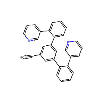 C#Cc1cc(-c2ccccc2-c2cccnc2)cc(-c2ccccc2-c2cccnc2)c1